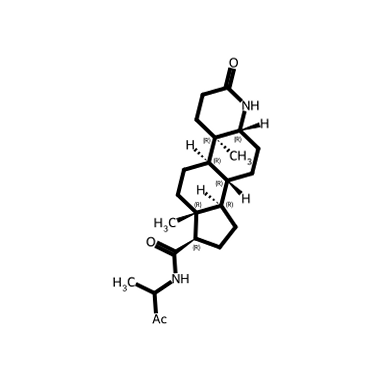 CC(=O)C(C)NC(=O)[C@@H]1CC[C@@H]2[C@H]3CC[C@H]4NC(=O)CC[C@]4(C)[C@@H]3CC[C@]21C